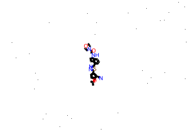 CC(C)Oc1ccc(-c2nnc(-c3cccc4c3CCC4NCC(=O)N3CCOCC3)s2)cc1C#N